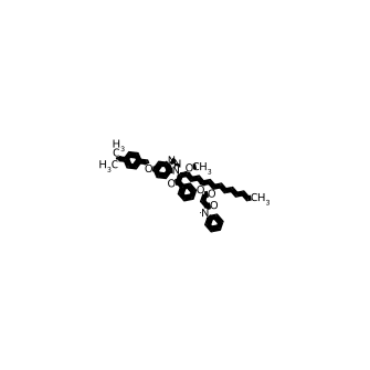 CCCCCCCCCC(CCC(OC)C(C(=O)c1ccccc1)n1nnc2cc(OCc3ccc(C(C)C)cc3)ccc21)OC(=O)CC(=O)[N]c1ccccc1